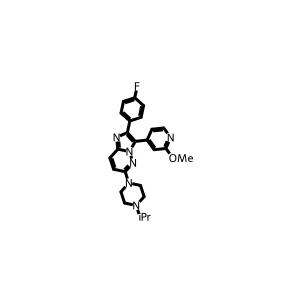 COc1cc(-c2c(-c3ccc(F)cc3)nc3ccc(N4CCN(C(C)C)CC4)nn23)ccn1